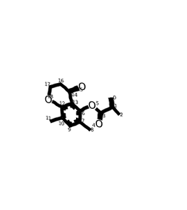 C=C(C)C(=O)Oc1c(C)cc(C)c2c1C(=O)CCO2